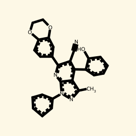 Cc1nn(-c2ccccc2)c2nc(-c3ccc4c(c3)OCCO4)c(C#N)c(-c3ccccc3O)c12